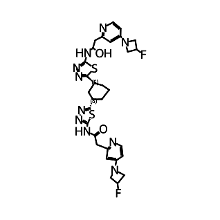 O=C(Cc1cc(N2CC(F)C2)ccn1)Nc1nnc([C@H]2CCC[C@H](c3nnc(NC(O)Cc4cc(N5CC(F)C5)ccn4)s3)C2)s1